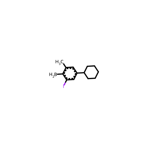 Bc1c(C)cc(C2CCCCC2)cc1I